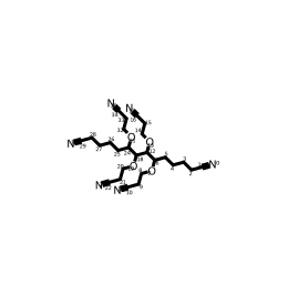 N#CCCCCC(OCCC#N)C(OCCC#N)C(OCCC#N)C(CCCCC#N)OCCC#N